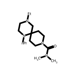 CCCN1CCN(CC)CC12CCN(C(=O)N(C)C)CC2